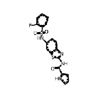 O=C(Nc1nc2ccc(NS(=O)(=O)c3ccccc3F)cc2s1)c1ccc[nH]1